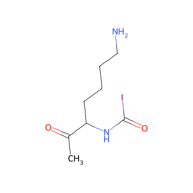 CC(=O)C(CCCCN)NC(=O)I